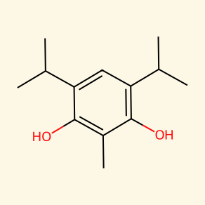 Cc1c(O)c(C(C)C)cc(C(C)C)c1O